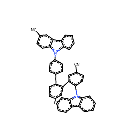 N#Cc1ccc(-c2ccc(-n3c4ccccc4c4cc(C#N)ccc43)cc2)c(-c2cc(C#N)ccc2-n2c3ccccc3c3ccccc32)c1